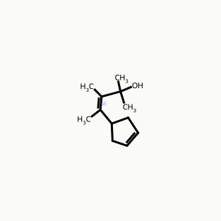 C/C(=C(\C)C(C)(C)O)C1CC=CC1